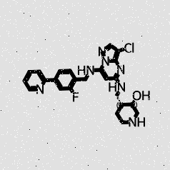 O[C@H]1CNCC[C@@H]1CNc1cc(NCc2ccc(-c3ccccn3)cc2F)n2ncc(Cl)c2n1